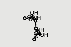 O=C(OCc1ccccc1)N1C[C@H](O)C[C@H]1c1nc2cc(C#Cc3ccc4nc([C@@H]5C[C@@H](O)CN5C(=O)OCc5ccccc5)[nH]c4c3)ccc2[nH]1